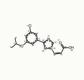 CC(C)Oc1cc(Cl)cc(-c2ncn(/C=C\C(=O)O)n2)c1